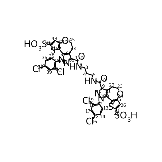 O=C(NCCCNC(=O)c1nn(-c2ccc(Cl)cc2Cl)c2c1CCOc1cc(S(=O)(=O)O)sc1-2)c1nn(-c2ccc(Cl)cc2Cl)c2c1CCOc1cc(S(=O)(=O)O)sc1-2